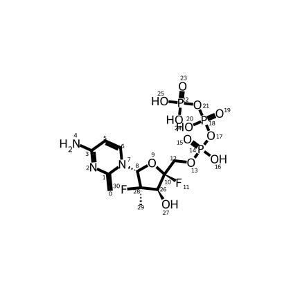 C=C1N=C(N)C=CN1[C@@H]1O[C@](F)(COP(=O)(O)OP(=O)(O)OP(=O)(O)O)[C@@H](O)[C@@]1(C)F